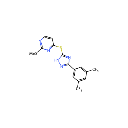 CSc1nccc(Sc2nc(-c3cc(C(F)(F)F)cc(C(F)(F)F)c3)n[nH]2)n1